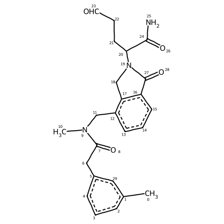 Cc1cccc(CC(=O)N(C)Cc2cccc3c2CN(C(CCC=O)C(N)=O)C3=O)c1